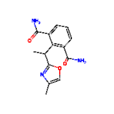 Cc1coc(C(C)c2c(C(N)=O)cccc2C(N)=O)n1